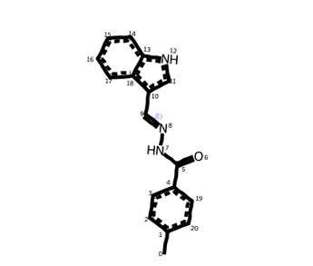 Cc1ccc(C(=O)N/N=C/c2c[nH]c3ccccc23)cc1